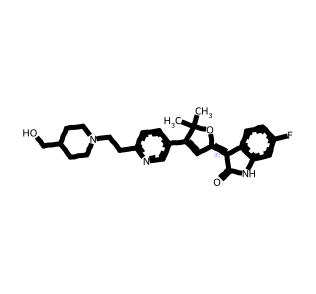 CC1(C)O/C(=C2/C(=O)Nc3cc(F)ccc32)C=C1c1ccc(CCN2CCC(CO)CC2)nc1